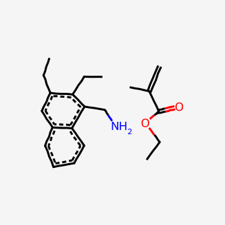 C=C(C)C(=O)OCC.CCc1cc2ccccc2c(CN)c1CC